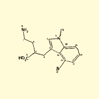 Cn1cc(CC(CCN)C(=O)O)c2c(Br)cccc21